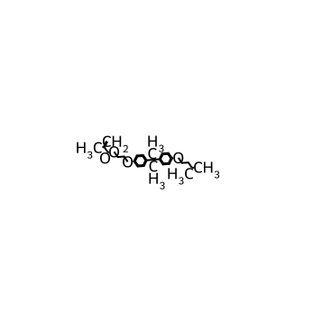 C=C(C)C(=O)OCCOc1ccc(C(C)(C)c2ccc(OCCC(C)C)cc2)cc1